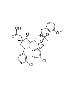 COc1cccc(CN(C[C@H](C2CC2)N2C(=O)[C@@](C)(CC(=O)O)CC(c3cccc(Cl)c3)[C@H]2c2ccc(Cl)cc2)S(C)(=O)=O)c1